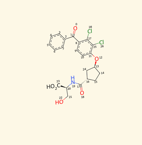 O=C(c1ccccc1)c1ccc(O[C@H]2CC[C@H](C(=O)N[C@@H](CO)C(=O)O)C2)c(Cl)c1Cl